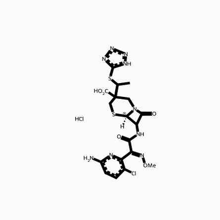 CON=C(C(=O)NC1C(=O)N2CC(C(=O)O)(C(C)Sc3nnn[nH]3)CS[C@H]12)c1nc(N)ccc1Cl.Cl